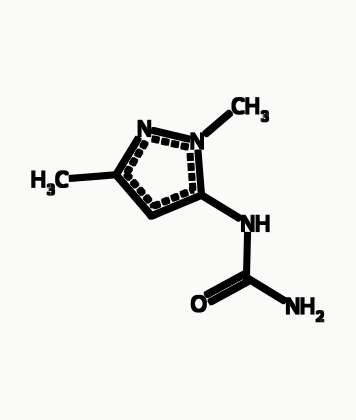 Cc1cc(NC(N)=O)n(C)n1